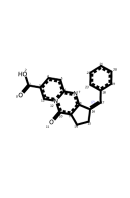 O=C(O)c1ccc2nc3c(c(=O)n2c1)CC/C3=C/c1ccccc1